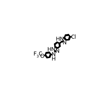 FC(F)(F)Oc1ccc(Nc2nc3cc(-c4nc5cc(Cl)ccc5[nH]4)ccc3[nH]2)cc1